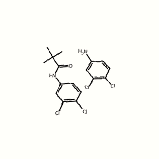 CC(C)(C)C(=O)Nc1ccc(Cl)c(Cl)c1.Nc1ccc(Cl)c(Cl)c1